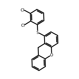 Clc1cccc(Sc2cccc3c2Cc2ccccc2O3)c1Cl